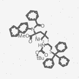 COC(=O)[C@](N)(CC(C)(C)C[C@H](CSC(c1ccccc1)(c1ccccc1)c1ccccc1)NC(=O)OC(C)(C)C)N(C(=O)c1ccccc1)c1ccc2ccccc2c1